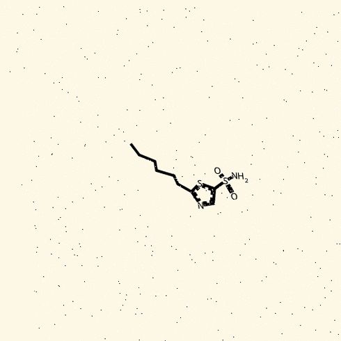 CCCCCCc1ncc(S(N)(=O)=O)s1